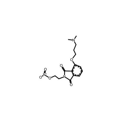 CN(C)CCCOc1cccc2c1C(=O)N(CCO[N+](=O)[O-])C2=O